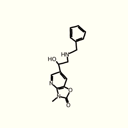 Cn1c(=O)oc2cc(C(O)CNCc3ccccc3)cnc21